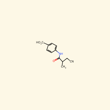 CC(CC#N)C(=O)Nc1ccc(C(=O)O)cc1